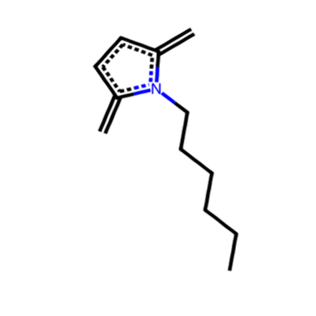 C=c1ccc(=C)n1CCCCCC